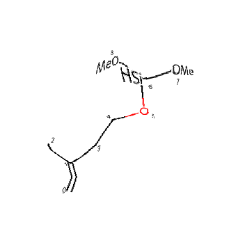 C=C(C)CCO[SiH](OC)OC